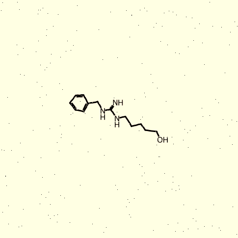 N=C(NCCCCCO)NCc1ccccc1